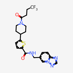 O=C(NCc1ccc2ncnn2c1)c1ccc(C2CCN(C(=O)CCC(F)(F)F)CC2)s1